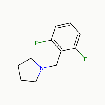 Fc1cccc(F)c1CN1CCCC1